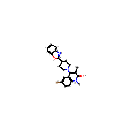 [2H]c1c(N2CCC(c3nc4ccccc4o3)CC2)c2cc(Br)ccc2n(C)c1=O